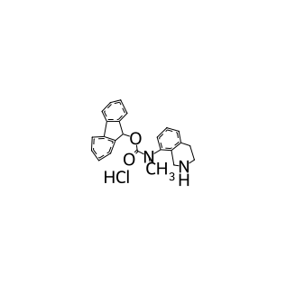 CN(C(=O)OC1c2ccccc2-c2ccccc21)c1cccc2c1CNCC2.Cl